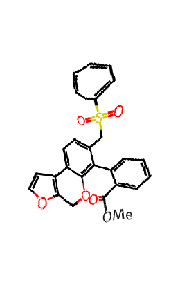 COC(=O)c1ccccc1-c1c(CS(=O)(=O)c2ccccc2)ccc2c1OCc1occc1-2